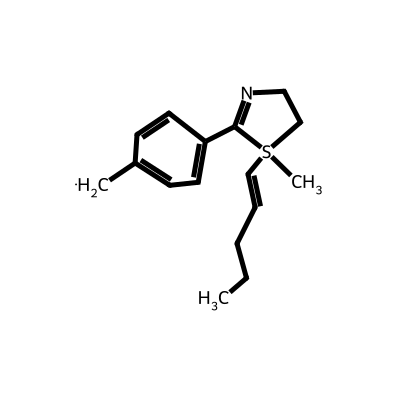 [CH2]c1ccc(C2=NCCS2(C)C=CCCC)cc1